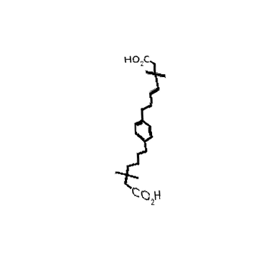 CC(C)(CCCCc1ccc(CCCCC(C)(C)CC(=O)O)cc1)CC(=O)O